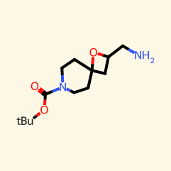 CC(C)(C)OC(=O)N1CCC2(CC1)CC(CN)O2